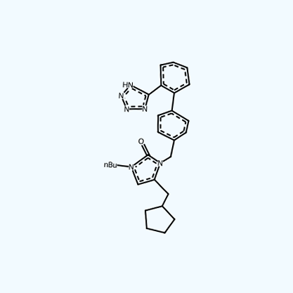 CCCCn1cc(CC2CCCC2)n(Cc2ccc(-c3ccccc3-c3nnn[nH]3)cc2)c1=O